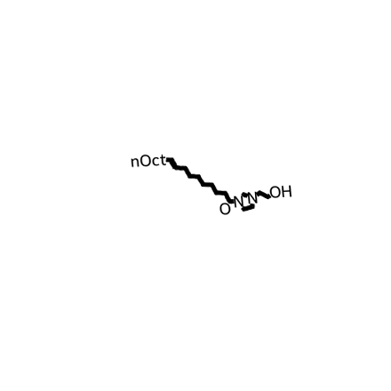 CCCCCCCCC=CCCCCCCCC(=O)N1CCN(CCO)C1